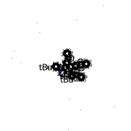 C=C(/C=c1\c2n(c3ccc(C(C)(C)C)cc13)-c1cc3c(oc4ccccc43)c3c1B(C=2C)N(c1cccc2c1oc1ccccc12)c1cc2c(cc1-3)Oc1ccccc1O2)C(C)(C)C